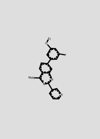 CCOc1cc(F)cc(-c2ccc3c(NC)nc(-c4cccnc4)nc3c2)c1